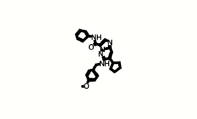 COc1ccc(CNc2nn3c(C(=O)Nc4ccccc4)cnc3cc2C2CCCC2)cc1